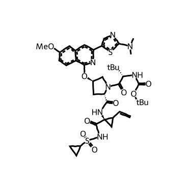 C=CC1C[C@]1(NC(=O)[C@@H]1C[C@@H](Oc2nc(-c3cnc(N(C)C)s3)cc3cc(OC)ccc23)CN1C(=O)[C@@H](NC(=O)OC(C)(C)C)C(C)(C)C)C(=O)NS(=O)(=O)C1CC1